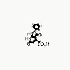 O=C(O)Oc1cc(=O)[nH]c2[nH]n(-c3ccccc3)c(=O)c12